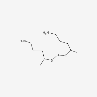 CC(CCCN)SOSC(C)CCCN